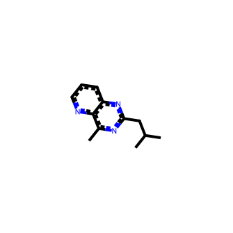 Cc1nc(CC(C)C)nc2cccnc12